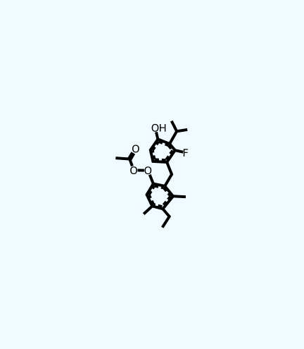 CCc1c(C)cc(OOC(C)=O)c(Cc2ccc(O)c(C(C)C)c2F)c1C